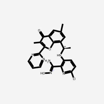 Cc1cc([C@@H](C)Nc2ccc(Cl)nc2/C(N)=N/O)c2oc(-c3ncccn3)c(C)c(=O)c2c1